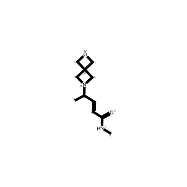 CNC(=O)C=CC(C)N1CC2(COC2)C1